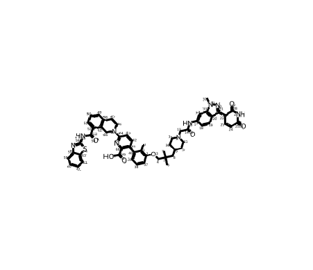 Cc1c(OCC(C)(C)CC2CCN(CC(=O)Nc3ccc4c(C5CCC(=O)NC5=O)nn(C)c4c3)CC2)cccc1-c1ccc(N2CCc3cccc(C(=O)Nc4nc5ccccc5s4)c3C2)nc1C(=O)O